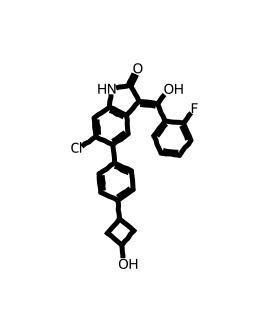 O=C1Nc2cc(Cl)c(-c3ccc(C4CC(O)C4)cc3)cc2/C1=C(/O)c1ccccc1F